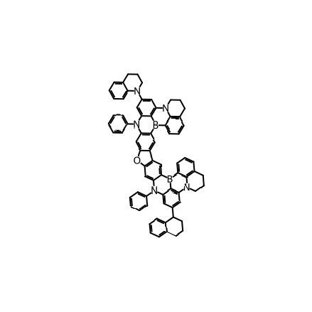 c1ccc(N2c3cc4oc5cc6c(cc5c4cc3B3c4cccc5c4N(CCC5)c4cc(C5CCCc7ccccc75)cc2c43)B2c3cccc4c3N(CCC4)c3cc(N4CCCc5ccccc54)cc(c32)N6c2ccccc2)cc1